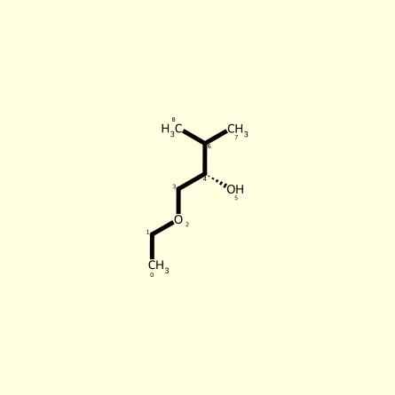 CCOC[C@@H](O)C(C)C